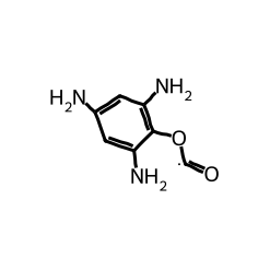 Nc1cc(N)c(O[C]=O)c(N)c1